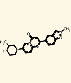 C[C@H]1CN(c2ccc3nc(-c4ccc5nn(C)cc5c4)cc(=O)n3c2)CCN1